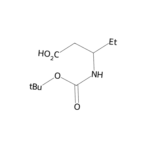 CCC(CC(=O)O)NC(=O)OC(C)(C)C